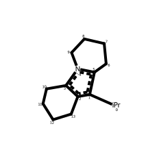 CC(C)c1c2c(n3c1CCCC3)CCCC2